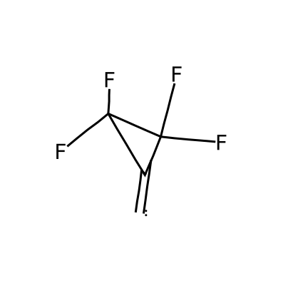 [C]=C1C(F)(F)C1(F)F